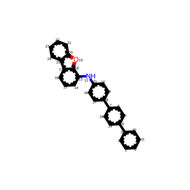 c1ccc(-c2ccc(-c3ccc(Nc4cccc5c4oc4ccccc45)cc3)cc2)cc1